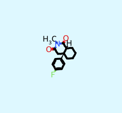 CN1C(=O)C[C@@]2(c3ccc(F)cc3)CCCC[C@H]2C1=O